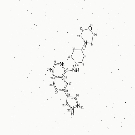 c1nc(NC2CCC(N3CCOCC3)CC2)c2cc(-c3cn[nH]c3)ccc2n1